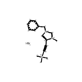 Br.CN1CN(Cc2ccccc2)C=C1C#C[Si](C)(C)C